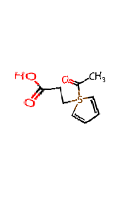 CC(=O)S1(CCC(=O)O)C=CC=C1